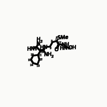 CS[C@H](CCN/C(N)=C(\C(=N)N)C1CCCCC1)C(=O)NNO